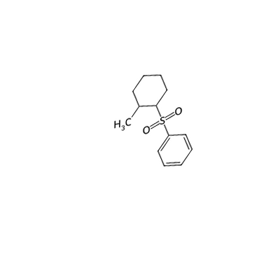 CC1CCCCC1S(=O)(=O)c1ccccc1